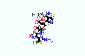 CCSC(N)c1ccncc1SC1=C(C(=O)O)N2C(=O)[C@@H](NC(=O)/C(=N\O)c3nc(N)sc3Cl)[C@@H]2SC1